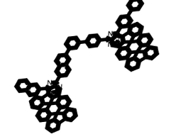 c1ccc(-c2ccc(-c3nc(-c4ccc(-c5cccc(-c6ccc7cc(-c8nc(-c9ccc%10ccccc%10c9)nc(-c9cccc%10c9C9(c%11ccccc%11-c%11ccccc%119)c9ccccc9C%109c%10ccccc%10-c%10ccccc%109)n8)ccc7c6)c5)cc4)nc(-c4cccc5c4C4(c6ccccc6-c6ccccc64)c4ccccc4C54c5ccccc5-c5ccccc54)n3)cc2)cc1